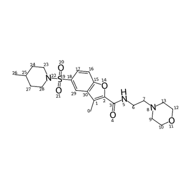 Cc1c(C(=O)NCCN2CCOCC2)oc2ccc(S(=O)(=O)N3CCC(C)CC3)cc12